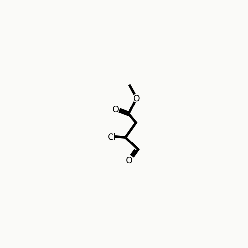 COC(=O)CC(Cl)C=O